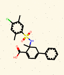 Cc1cc(S(=O)(=O)NC2(C)CC(c3ccccc3)=CC=C2C(=O)O)c(C)cc1Cl